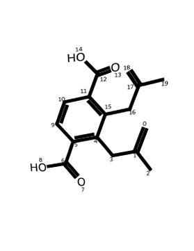 C=C(C)Cc1c(C(=O)O)ccc(C(=O)O)c1CC(=C)C